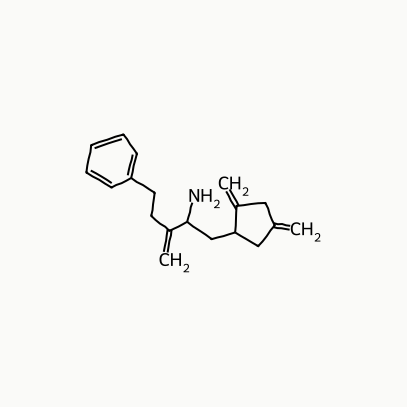 C=C1CC(=C)C(CC(N)C(=C)CCc2ccccc2)C1